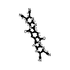 N#Cc1nc2nc3c4cc5c(=O)n6c7nc(C#N)c(C#N)nc7nc6c5cc4c(=O)n3c2nc1C#N